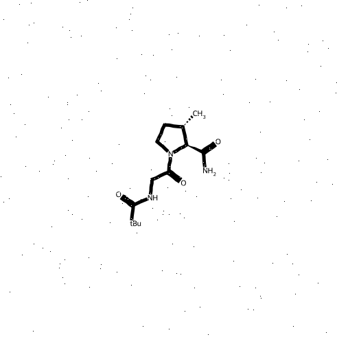 C[C@H]1CCN(C(=O)CNC(=O)C(C)(C)C)[C@@H]1C(N)=O